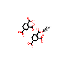 O=C([O-])c1ccc(C(=O)[O-])c(C(=O)[O-])c1.O=C([O-])c1ccc(C(=O)[O-])c(C(=O)[O-])c1.[Zn+2].[Zn+2].[Zn+2]